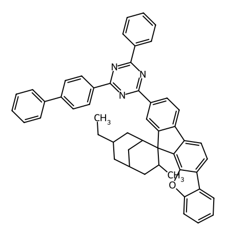 CCC1CC2CC(C)C3(c4cc(-c5nc(-c6ccccc6)nc(-c6ccc(-c7ccccc7)cc6)n5)ccc4-c4ccc5c(oc6ccccc65)c43)C(C1)C2